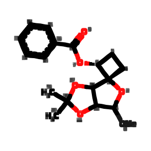 COC1O[C@]2(CC[C@H]2OC(=O)c2ccccc2)C2OC(C)(C)OC12